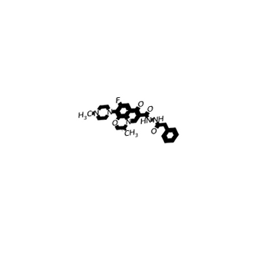 C[C@H]1COc2c(N3CCN(C)CC3)c(F)cc3c(=O)c(C(=O)NNC(=O)Cc4ccccc4)cn1c23